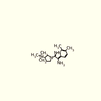 Cc1ccc2c(N)c(N3CC[C@@H]([N+](C)(C)C)C3)nn2c1C